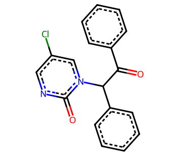 O=C(c1ccccc1)C(c1ccccc1)n1cc(Cl)cnc1=O